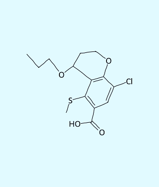 CCCOC1CCOc2c(Cl)cc(C(=O)O)c(SC)c21